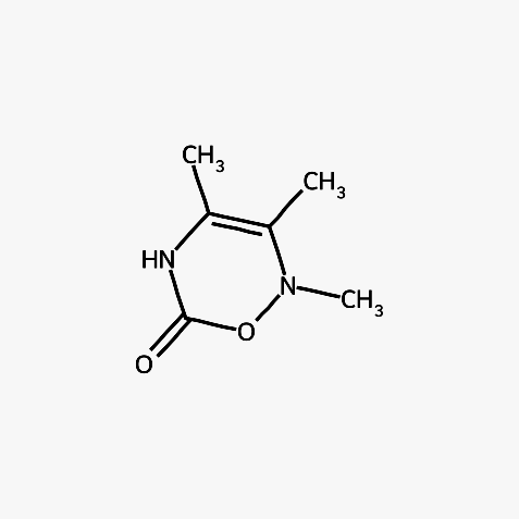 CC1=C(C)N(C)OC(=O)N1